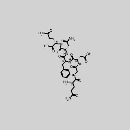 NC(=O)CC[C@H](NC(=O)[C@H](CC(N)=O)NC(=O)[C@H](Cc1ccccc1)NC(=O)[C@H](CC(=O)O)NC(=O)CNC(=O)[C@@H](N)CCC(N)=O)C(=O)O